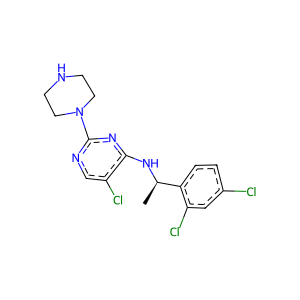 C[C@@H](Nc1nc(N2CCNCC2)ncc1Cl)c1ccc(Cl)cc1Cl